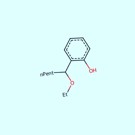 CCCCCC(OCC)c1ccccc1O